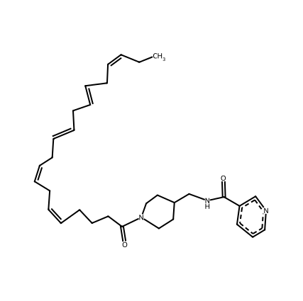 CC/C=C\CC=CCC=CC/C=C\C/C=C\CCCC(=O)N1CCC(CNC(=O)c2cccnc2)CC1